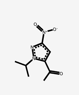 CC(=O)c1cc([N+](=O)[O-])nn1C(C)C